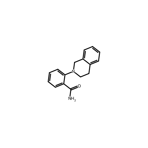 NC(=O)c1ccccc1N1CCc2ccccc2C1